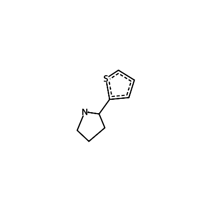 c1csc(C2CCC[N]2)c1